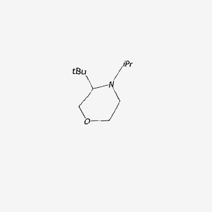 CC(C)N1CCOCC1C(C)(C)C